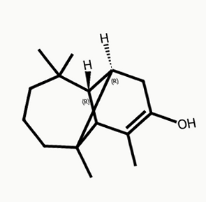 CC1=C(O)C[C@@H]2[C@@H]3C1C2(C)CCCC3(C)C